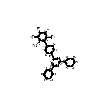 N#Cc1c(F)c(F)c(F)c(F)c1-c1ccc(-c2nc(-c3ccccc3)nc(-c3ccccc3)n2)cc1